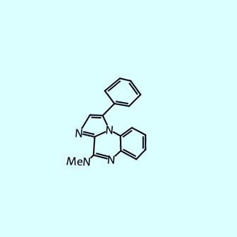 CNc1nc2ccccc2n2c(-c3ccccc3)cnc12